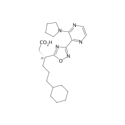 O=C(O)C[C@@H](CCCC1CCCCC1)c1nc(-c2nccnc2N2CCCC2)no1